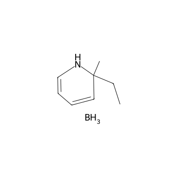 B.CCC1(C)C=CC=CN1